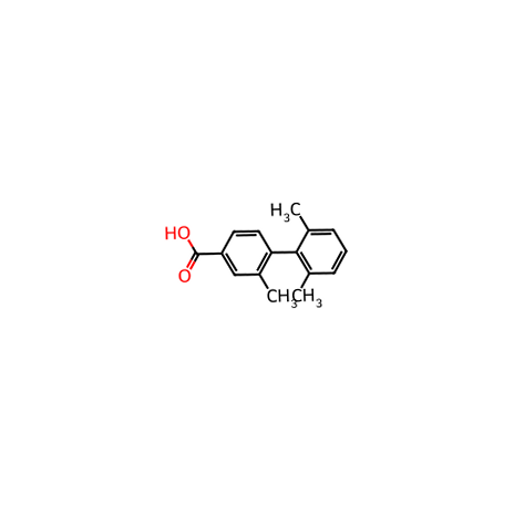 Cc1cc(C(=O)O)ccc1-c1c(C)cccc1C